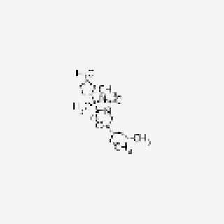 CCCC(CC)C(=O)CN1C(=O)N(C)C(C)(C2CCC(C)C2)C1=O